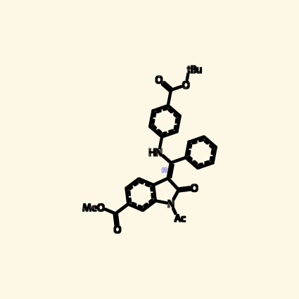 COC(=O)c1ccc2c(c1)N(C(C)=O)C(=O)/C2=C(/Nc1ccc(C(=O)OC(C)(C)C)cc1)c1ccccc1